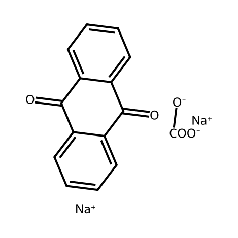 O=C([O-])[O-].O=C1c2ccccc2C(=O)c2ccccc21.[Na+].[Na+]